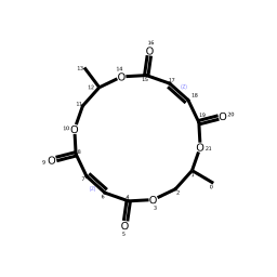 CC1COC(=O)/C=C\C(=O)OCC(C)OC(=O)/C=C\C(=O)O1